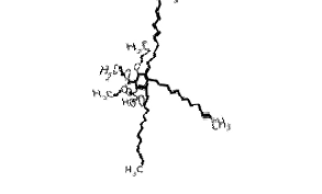 C=CCOC(OCC=C)c1c(OCCCC)c(CCCCCCCCCCCC)c(CCCCCCCCCCCC)c(CCCCCCCCCCCC)c1S(=O)(=O)O